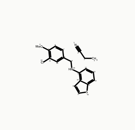 CCC#N.COc1ccc(CNc2cccc3sccc23)cc1Cl